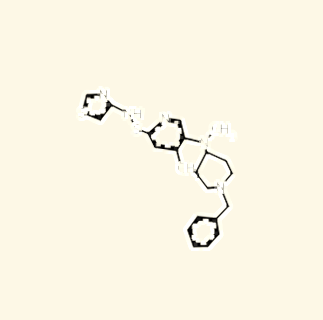 Cc1cc(SNc2cscn2)ncc1N(C)C1CCN(Cc2ccccc2)CC1